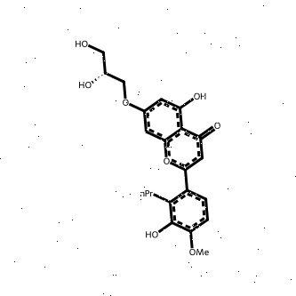 CCCc1c(-c2cc(=O)c3c(O)cc(OC[C@H](O)CO)cc3o2)ccc(OC)c1O